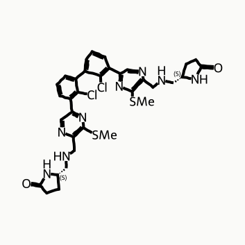 CSc1nc(-c2cccc(-c3cccc(-c4cnc(CNC[C@@H]5CCC(=O)N5)c(SC)n4)c3Cl)c2Cl)cnc1CNC[C@@H]1CCC(=O)N1